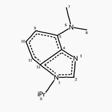 CC(C)n1cnc2c(N(C)C)cccc21